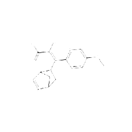 COc1ccc(C(=C(C)C(=O)O)C2CC3C=CC2C3)cc1